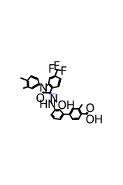 Cc1ccc(N2C(=O)/C(=N\Nc3cccc(-c4ccc(C(=O)O)c(C)c4)c3O)c3ccc(C(F)(F)F)cc32)cc1C